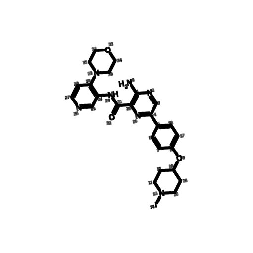 Nc1ncc(-c2ccc(OC3CCN(I)CC3)cc2)nc1C(=O)Nc1cnccc1N1CCOCC1